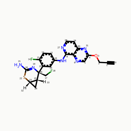 C#CCOc1cnc2c(Nc3ccc(F)c([C@@]4(CF)N=C(N)S[C@H]5C[C@H]54)c3)nccc2n1